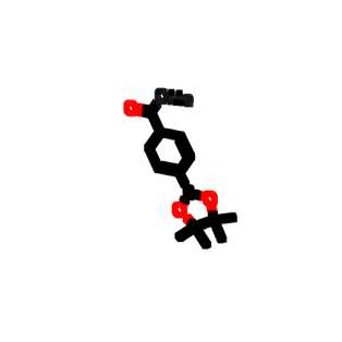 COC(=O)C1C=CC(B2OC(C)(C)C(C)(C)O2)=CC1